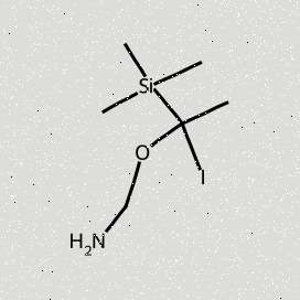 CC(I)(OCN)[Si](C)(C)C